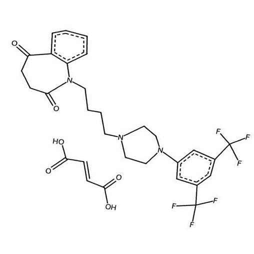 O=C(O)/C=C/C(=O)O.O=C1CCC(=O)N(CCCCN2CCN(c3cc(C(F)(F)F)cc(C(F)(F)F)c3)CC2)c2ccccc21